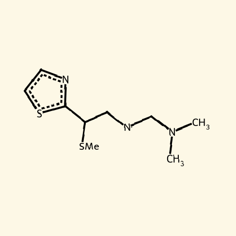 CSC(C[N]CN(C)C)c1nccs1